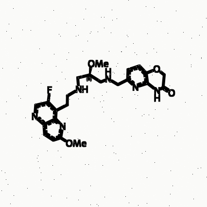 COc1ccc2ncc(F)c(CCNC[C@H](CNCc3ccc4c(n3)NC(=O)CO4)OC)c2n1